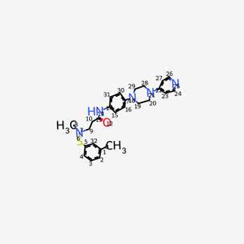 Cc1cccc(SN(C)CCC(=O)Nc2ccc(N3CCN(c4ccncc4)CC3)cc2)c1